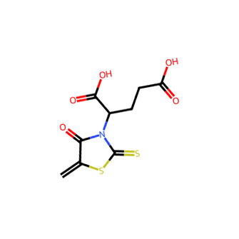 C=C1SC(=S)N(C(CCC(=O)O)C(=O)O)C1=O